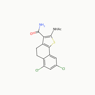 CC(=O)Nc1sc2c(c1C(N)=O)CCc1c(Cl)cc(Cl)cc1-2